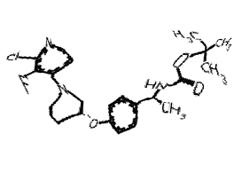 C[C@H](NC(=O)OC(C)(C)C)c1ccc(O[C@@H]2CCN(c3ccnc(Cl)c3F)C2)cc1